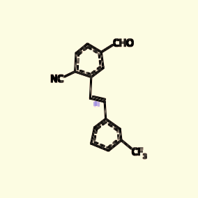 N#Cc1ccc(C=O)cc1/C=C/c1cccc(C(F)(F)F)c1